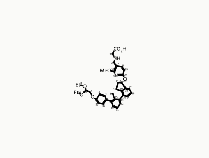 CCOC(COc1ccc(-c2cccc(-c3cccc4c3CC[C@@H]4Oc3ccc(CNCC(=O)O)c(OC)n3)c2C)cc1)OCC